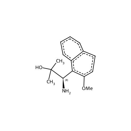 COc1ccc2ccccc2c1[C@@H](N)C(C)(C)O